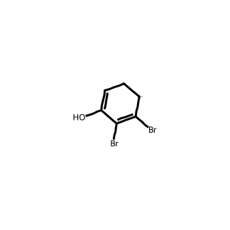 OC1=CC[CH]C(Br)=C1Br